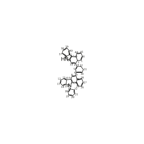 C1=CC2C(C3=CC(c4cc5c6ccccc6n(-c6ccccc6)c5c5ccccc45)=CCC3)=Cc3[nH]c4ccccc4c3C2C=C1